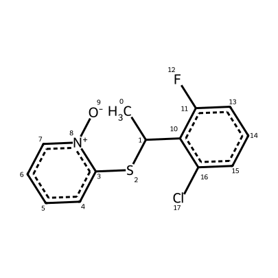 CC(Sc1cccc[n+]1[O-])c1c(F)cccc1Cl